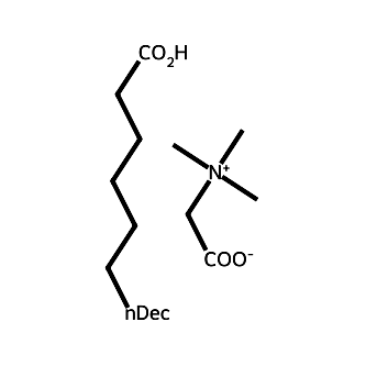 CCCCCCCCCCCCCCCC(=O)O.C[N+](C)(C)CC(=O)[O-]